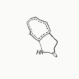 [c]1cccc2c1NOC2